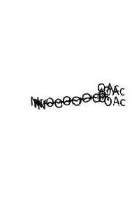 CC(=O)OC[C@H]1O[C@H](OCCOCCOCCOCCOCCOCCN=[N+]=[N-])C[C@@H](OC(C)=O)[C@@H]1OC(C)=O